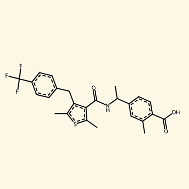 Cc1cc(C(C)NC(=O)c2c(C)sc(C)c2Cc2ccc(C(F)(F)F)cc2)ccc1C(=O)O